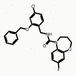 O=C(NCc1ccc(Cl)cc1OCc1ccccc1)N1CCCOc2cc(F)ccc21